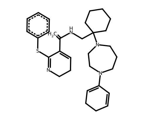 C=C(NCC1(N2CCCN(C3=CCCC=C3)CC2)CCCCC1)C1=CCCN=C1Sc1ccccc1